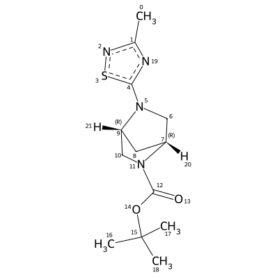 Cc1nsc(N2C[C@H]3C[C@@H]2CN3C(=O)OC(C)(C)C)n1